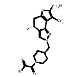 CCC(=O)C(=O)N1CCC(Cn2cc3c(n2)-c2c(oc(C(=O)O)c2C(F)(F)F)C[C@H]3C)CC1